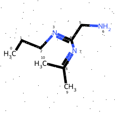 CCC/N=C(/CN)N=C(C)C